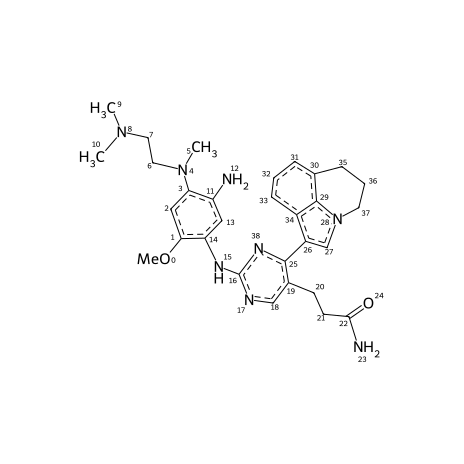 COc1cc(N(C)CCN(C)C)c(N)cc1Nc1ncc(CCC(N)=O)c(-c2cn3c4c(cccc24)CCC3)n1